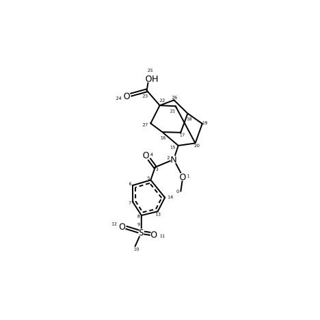 CON(C(=O)c1ccc(S(C)(=O)=O)cc1)C1C2CC3CC1CC(C(=O)O)(C3)C2